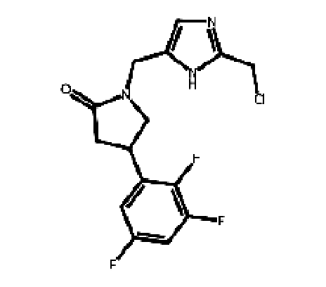 O=C1CC(c2cc(F)cc(F)c2F)CN1Cc1cnc(CCl)[nH]1